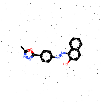 Cc1nnc(-c2ccc(N=Nc3c(O)ccc4ccccc34)cc2)o1